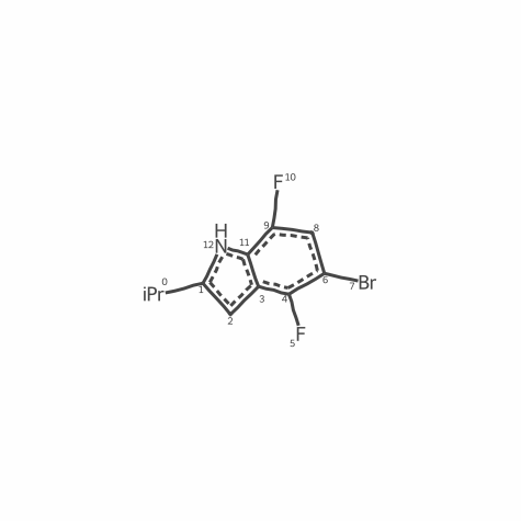 CC(C)c1cc2c(F)c(Br)cc(F)c2[nH]1